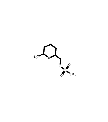 CC1CCCC(COS(C)(=O)=O)O1